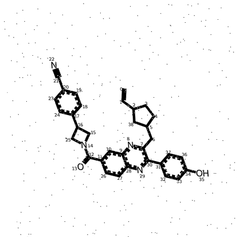 C=CC1CCC(Cc2nc3cc(C(=O)N4CC(c5ccc(C#N)cc5)C4)ccc3nc2-c2ccc(O)cc2)C1